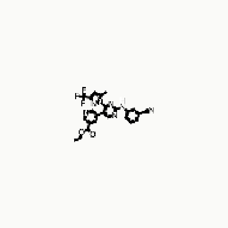 CCOC(=O)c1cncc(-c2cnc(Nc3cccc(C#N)c3)nc2-n2nc(C(F)(F)F)cc2C)c1